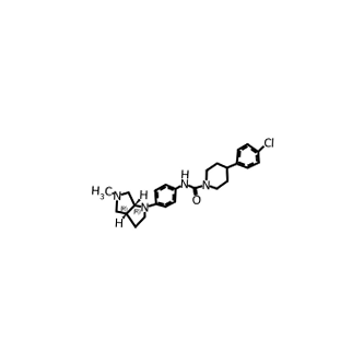 CN1C[C@H]2CCN(c3ccc(NC(=O)N4CCC(c5ccc(Cl)cc5)CC4)cc3)[C@H]2C1